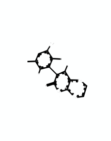 O=c1[nH]c2nccnc2c(O)c1-c1c(F)c([N+](=O)[O-])cc(F)c1Cl